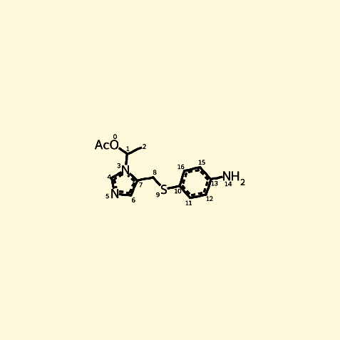 CC(=O)OC(C)n1cncc1CSc1ccc(N)cc1